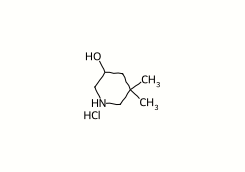 CC1(C)CNCC(O)C1.Cl